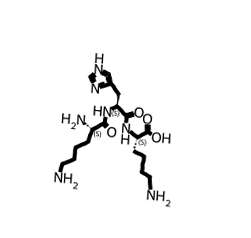 NCCCC[C@H](NC(=O)[C@H](Cc1c[nH]cn1)NC(=O)[C@@H](N)CCCCN)C(=O)O